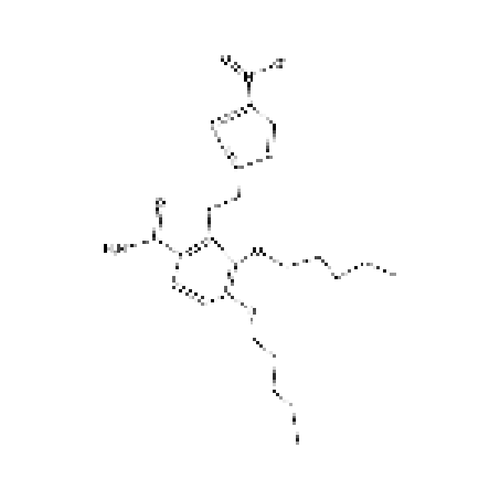 CCCCCOc1ccc(C(N)=O)c(CCc2ccc([N+](=O)[O-])cc2)c1OCCCCC